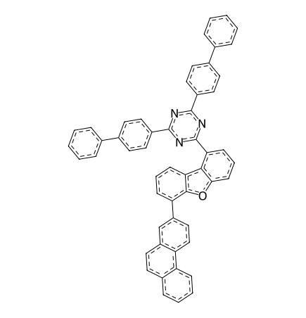 c1ccc(-c2ccc(-c3nc(-c4ccc(-c5ccccc5)cc4)nc(-c4cccc5oc6c(-c7ccc8c(ccc9ccccc98)c7)cccc6c45)n3)cc2)cc1